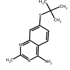 Cc1nc(N)c2ccc(SC(C)(C)C)cc2n1